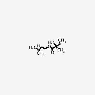 CCC(C)(C)C(=O)OCC[SiH](C)C